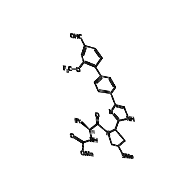 COC(=O)N[C@H](C(=O)N1CC(SC)CC1c1nc(-c2ccc(-c3ccc(C=O)cc3OC(F)(F)F)cc2)c[nH]1)C(C)C